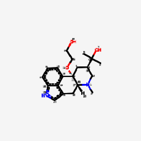 CN1C[C@H](C(C)(C)O)C[C@]2(OCCO)c3cccc4[nH]cc(c34)C[C@@H]12